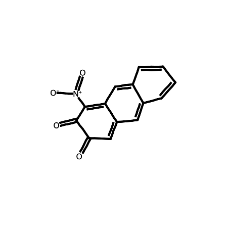 O=C1C=c2cc3ccccc3cc2=C([N+](=O)[O-])C1=O